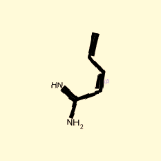 C=C/C=C\C(=N)N